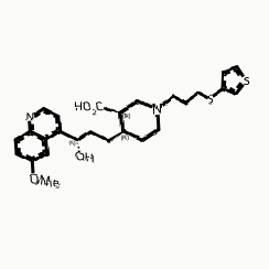 COc1ccc2nccc([C@@H](O)CC[C@@H]3CCN(CCCSc4ccsc4)C[C@@H]3C(=O)O)c2c1